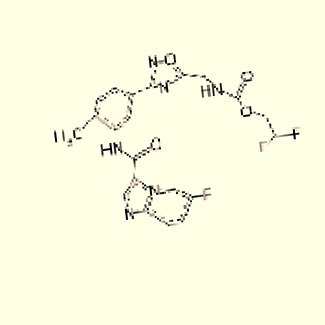 Cc1ccc(-c2noc(CNC(=O)OCC(F)F)n2)cc1NC(=O)c1cnc2ccc(F)cn12